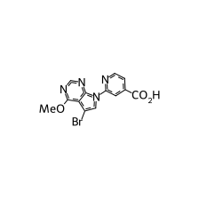 COc1ncnc2c1c(Br)cn2-c1cc(C(=O)O)ccn1